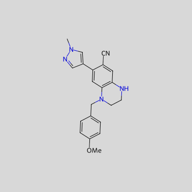 COc1ccc(CN2CCNc3cc(C#N)c(-c4cnn(C)c4)cc32)cc1